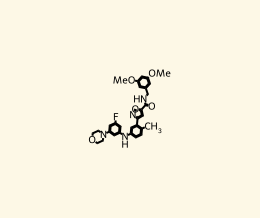 COc1cc(CNC(=O)c2cc(-c3cc(Nc4cc(F)cc(N5CCOCC5)c4)ccc3C)no2)cc(OC)c1